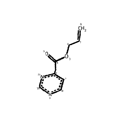 C=CCOC(=O)c1ccncn1